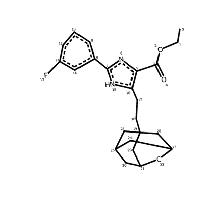 CCOC(=O)c1nc(-c2cccc(F)c2)[nH]c1CCC12CC3CC(CC(C3)C1)C2